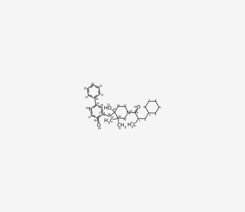 CC(CC1CCCCC1)C(=O)N1CCC(O)(Cn2cc(-c3ccccc3)ncc2=O)C(C)(C)C1